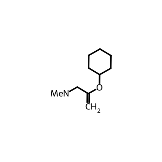 C=C(CNC)OC1CCCCC1